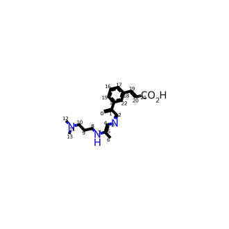 C=C(/C=N\C=C(/C)NCCCN(C)C)c1cccc(/C=C/C(=O)O)c1